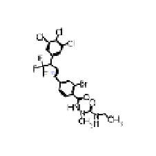 CCNC(=O)N(C)NC(=O)c1ccc(/C=C/C(c2cc(Cl)c(Cl)c(Cl)c2)C(F)(F)F)cc1Br